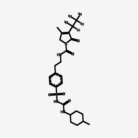 [2H]C([2H])([2H])C([2H])([2H])C1=C(C)CN(C(=O)NCCc2ccc(S(=O)(=O)NC(=O)NC3CCC(C)CC3)cc2)C1=O